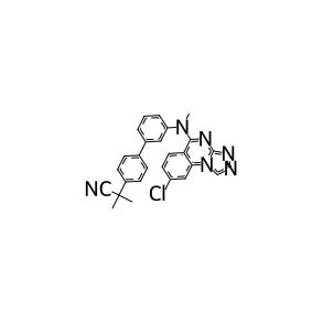 CN(c1cccc(-c2ccc(C(C)(C)C#N)cc2)c1)c1nc2nncn2c2cc(Cl)ccc12